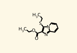 CCOC(=O)c1nc2ccccn2c1SCC